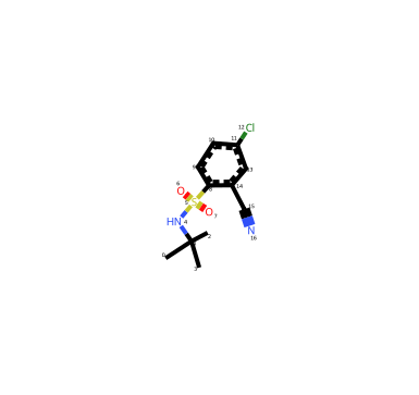 CC(C)(C)NS(=O)(=O)c1ccc(Cl)cc1C#N